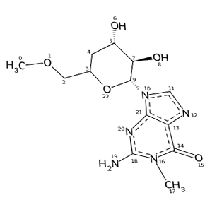 COCC1C[C@H](O)[C@@H](O)[C@H](n2cnc3c(=O)n(C)c(N)nc32)O1